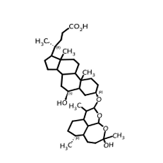 CC1C(O[C@@H]2CCC3(C)C4CCC5(C)C(CCC5[C@H](C)CCC(=O)O)C4C[C@H](O)C3C2)OC2OC(C)(O)CCC3C2C1CC[C@H]3C